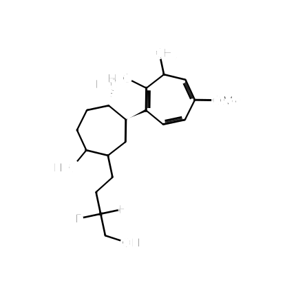 COC1=CC(C)C(C)=C([C@H]2CC(CCC(F)(F)CO)C(C)CC[C@@H]2C)C=C1